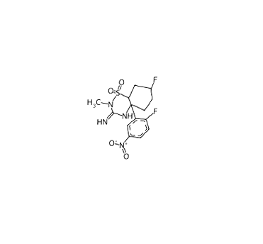 CN1C(=N)NC2(c3cc([N+](=O)[O-])ccc3F)CCC(F)CC2S1(=O)=O